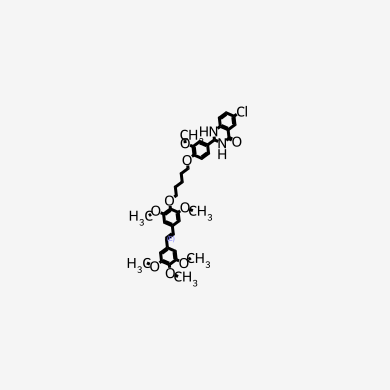 COc1cc(C2NC(=O)c3cc(Cl)ccc3N2)ccc1OCCCCCOc1c(OC)cc(/C=C/c2cc(OC)c(OC)c(OC)c2)cc1OC